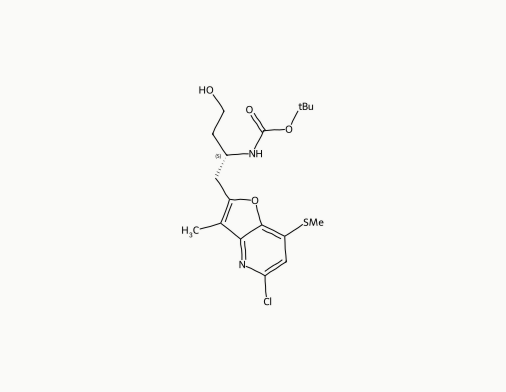 CSc1cc(Cl)nc2c(C)c(C[C@H](CCO)NC(=O)OC(C)(C)C)oc12